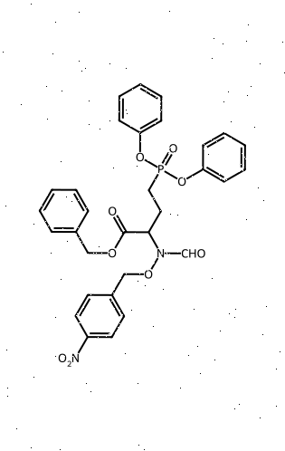 O=CN(OCc1ccc([N+](=O)[O-])cc1)C(CCP(=O)(Oc1ccccc1)Oc1ccccc1)C(=O)OCc1ccccc1